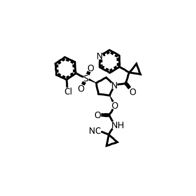 N#CC1(NC(=O)O[C@H]2C[C@@H](S(=O)(=O)c3ccccc3Cl)CN2C(=O)C2(c3ccncc3)CC2)CC1